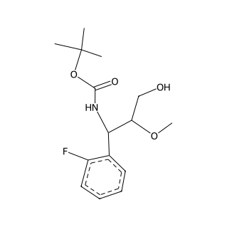 COC(CO)C(NC(=O)OC(C)(C)C)c1ccccc1F